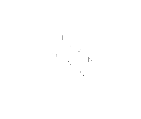 N#CBr.O=C(CF)n1ccnc1